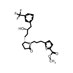 COC(=O)c1ccc(CCCN2C(=O)CC[C@@H]2CC[C@@H](O)Cc2cccc(C(F)(F)F)c2)s1